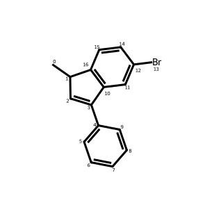 CC1C=C(c2ccccc2)c2cc(Br)ccc21